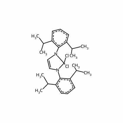 CC(C)c1cccc(C(C)C)c1N1C=CN(c2c(C(C)C)cccc2C(C)C)C1(Cl)Cl